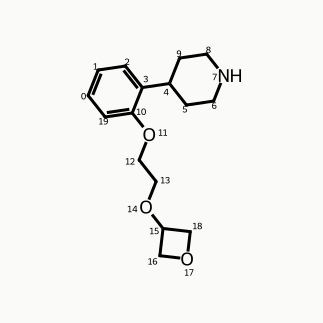 c1ccc(C2CCNCC2)c(OCCOC2COC2)c1